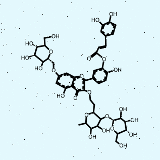 CC1OC(CCOc2c(-c3ccc(O)c(OC(=O)/C=C/c4ccc(O)c(O)c4)c3)oc3cc(OC[C@@H]4OC(CO)[C@@H](O)[C@H](O)C4O)cc(O)c3c2=O)C(O[C@@H]2OC(CO)[C@@H](O)[C@H](O)C2O)C(O)C1O